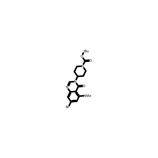 CNc1cc(Br)cc2ncn(C3CCN(C(=O)OC(C)(C)C)CC3)c(=O)c12